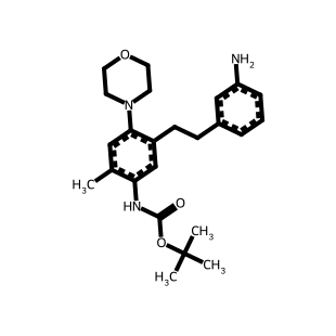 Cc1cc(N2CCOCC2)c(CCc2cccc(N)c2)cc1NC(=O)OC(C)(C)C